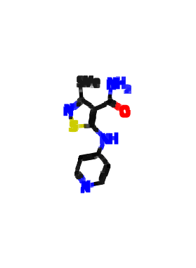 CSc1nsc(Nc2ccncc2)c1C(N)=O